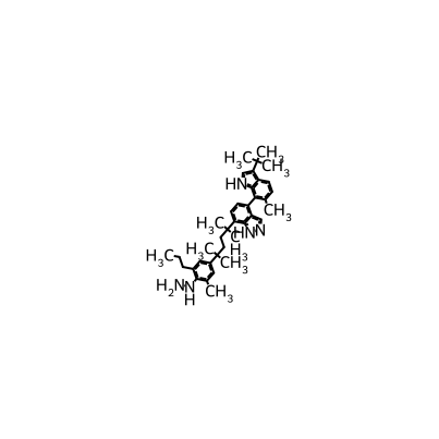 CCCc1cc(C(C)(C)CCC(C)(C)c2ccc(-c3c(C)ccc4c(C(C)(C)C)c[nH]c34)c3cn[nH]c23)cc(C)c1NN